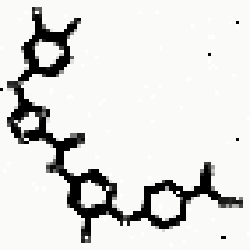 COC(=O)C1CCC(Oc2ncc(NC(=O)c3nnc(Nc4ccc(F)c(Cl)c4)o3)cc2Cl)CC1